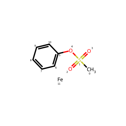 CS(=O)(=O)Oc1ccccc1.[Fe]